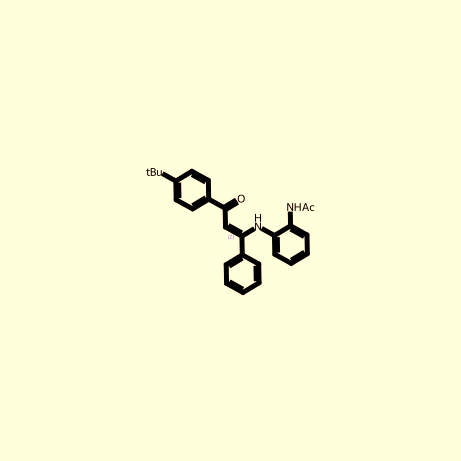 CC(=O)Nc1ccccc1N/C(=C\C(=O)c1ccc(C(C)(C)C)cc1)c1ccccc1